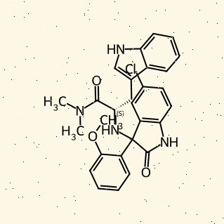 COc1ccccc1C1(N[C@@H](Cc2c[nH]c3ccccc23)C(=O)N(C)C)C(=O)Nc2ccc(Cl)cc21